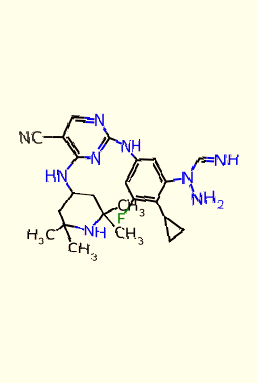 CC1(C)CC(Nc2nc(Nc3cc(F)c(C4CC4)c(N(N)C=N)c3)ncc2C#N)CC(C)(C)N1